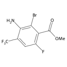 COC(=O)c1c(F)cc(C(F)(F)F)c(N)c1Br